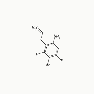 C=CCc1c(N)cc(F)c(Br)c1F